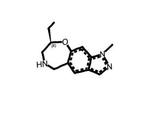 CC[C@@H]1CNCc2cc3cnn(C)c3cc2O1